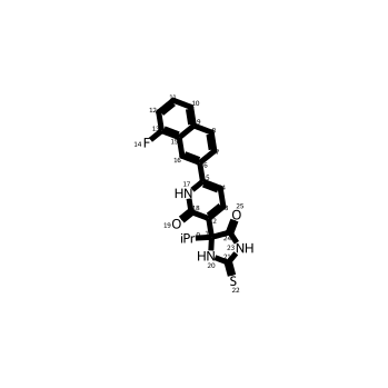 CC(C)C1(c2ccc(-c3ccc4cccc(F)c4c3)[nH]c2=O)NC(=S)NC1=O